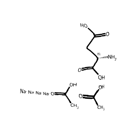 CC(=O)O.CC(=O)O.N[C@@H](CC(=O)O)C(=O)O.[Na].[Na].[Na].[Na]